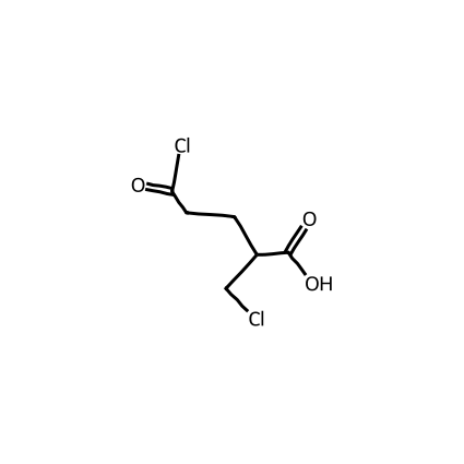 O=C(Cl)CCC(CCl)C(=O)O